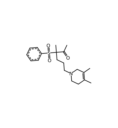 CC(=O)C(C)(CCCN1CCC(C)=C(C)C1)S(=O)(=O)c1ccccc1